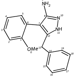 COc1ccccc1-c1c(N)n[nH]c1Cc1ccccc1